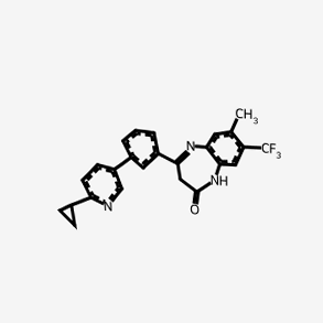 Cc1cc2c(cc1C(F)(F)F)NC(=O)CC(c1cccc(-c3ccc(C4CC4)nc3)c1)=N2